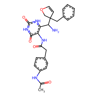 CC(=O)Nc1ccc(CC(=O)Nc2c(C(N)C3(Cc4ccccc4)C=COC3)[nH]c(=O)[nH]c2=O)cc1